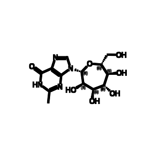 Cc1nc2c(ncn2[C@@H]2O[C@H](CO)[C@@H](O)[C@H](O)[C@@H](O)[C@H]2O)c(=O)[nH]1